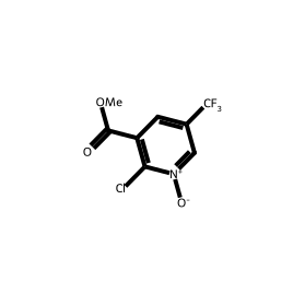 COC(=O)c1cc(C(F)(F)F)c[n+]([O-])c1Cl